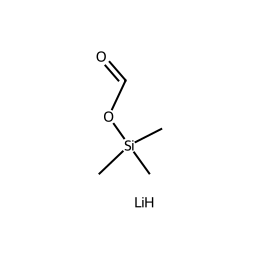 C[Si](C)(C)OC=O.[LiH]